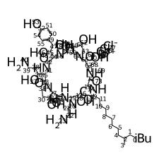 CCC(C)CC(C)CCCCCCCCC(=O)N[C@H]1C[C@@H](O)[C@H](NCCN)NC(=O)[C@@H]2[C@@H](O)CCN2C(=O)[C@H]([C@@H](O)CCN)NC(=O)[C@H]([C@H](O)[C@@H](O)c2ccc(O)cc2)NC(=O)[C@@H]2C[C@@H](O)CN2C(=O)[C@H]([C@@H](C)O)NC1=O.[B+3].[Cl-].[Cl-].[Cl-]